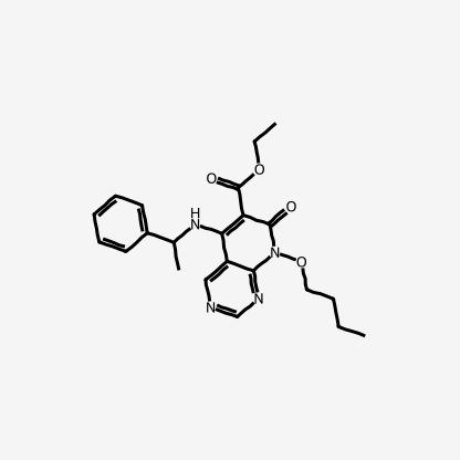 CCCCOn1c(=O)c(C(=O)OCC)c(NC(C)c2ccccc2)c2cncnc21